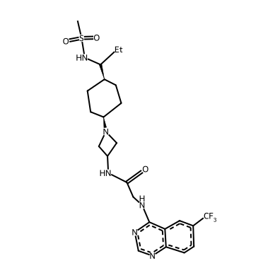 CCC(NS(C)(=O)=O)[C@H]1CC[C@@H](N2CC(NC(=O)CNc3ncnc4ccc(C(F)(F)F)cc34)C2)CC1